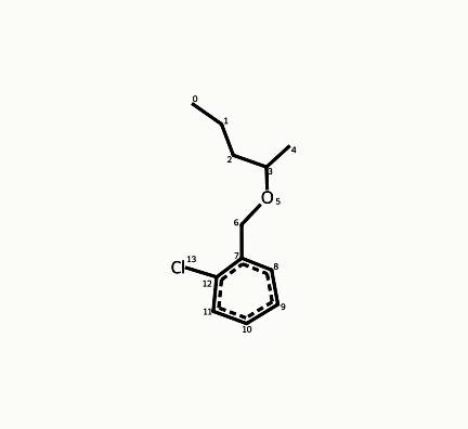 CCCC(C)OCc1ccccc1Cl